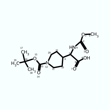 COC(=O)NC(C(=O)O)C1CCN(C(=O)OC(C)(C)C)CC1